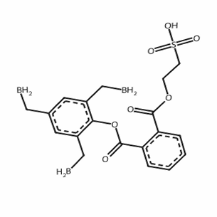 BCc1cc(CB)c(OC(=O)c2ccccc2C(=O)OCCS(=O)(=O)O)c(CB)c1